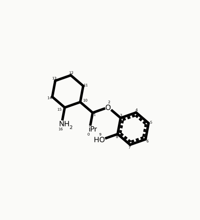 CC(C)C(Oc1ccccc1O)C1CCCCC1N